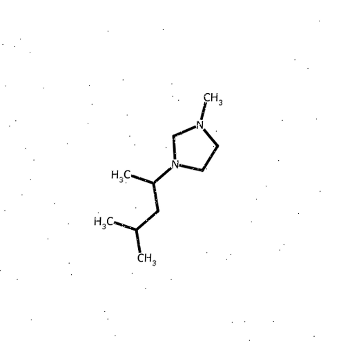 CC(C)CC(C)N1CCN(C)C1